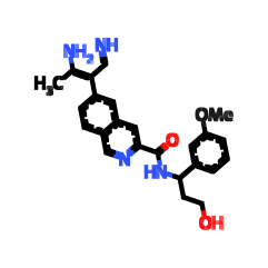 COc1cccc(C(CCO)NC(=O)c2cc3cc(/C(C=N)=C(\C)N)ccc3cn2)c1